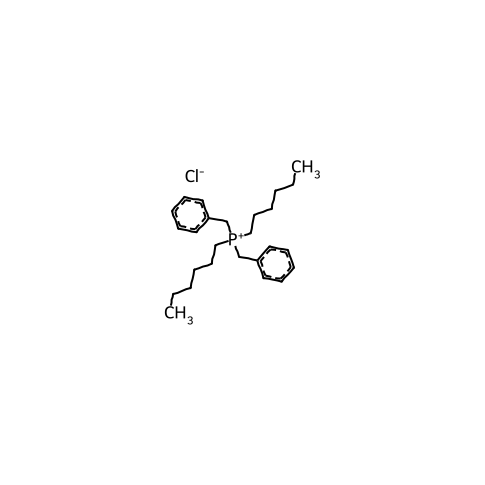 CCCCCC[P+](CCCCCC)(Cc1ccccc1)Cc1ccccc1.[Cl-]